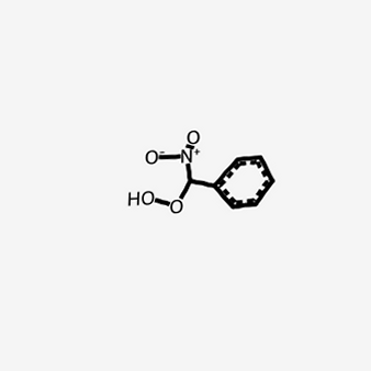 O=[N+]([O-])C(OO)c1ccccc1